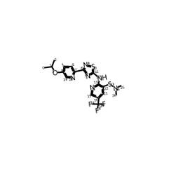 CC(C)Oc1ccc(-c2nsc(Nc3ncc(C(F)(F)F)cc3SN(C)C)n2)nc1